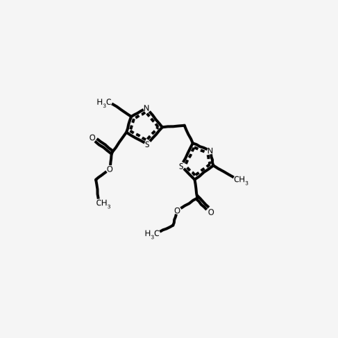 CCOC(=O)c1sc(Cc2nc(C)c(C(=O)OCC)s2)nc1C